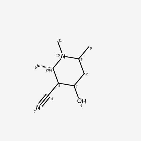 CC1CC(O)C(C#N)[C@H](C)N1C